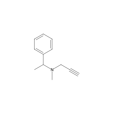 C#CCN(C)C(C)c1ccccc1